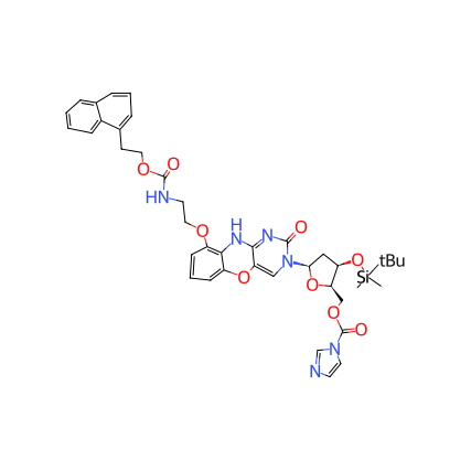 CC(C)(C)[Si](C)(C)O[C@@H]1C[C@H](n2cc3c(nc2=O)Nc2c(OCCNC(=O)OCCc4cccc5ccccc45)cccc2O3)O[C@@H]1COC(=O)n1ccnc1